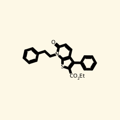 CCOC(=O)c1sc2c(ccc(=O)n2CCc2ccccc2)c1-c1ccccc1